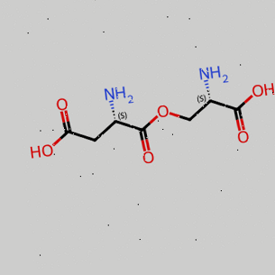 N[C@@H](COC(=O)[C@@H](N)CC(=O)O)C(=O)O